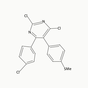 CSc1ccc(-c2c(Cl)nc(Cl)nc2-c2ccc(Cl)cc2)cc1